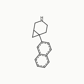 c1ccc2cc(C34CCNCC3C4)ccc2c1